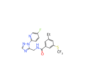 CCc1cc(SC(F)(F)F)cc(C(=O)NCc2ncnn2-c2ccc(F)cn2)c1